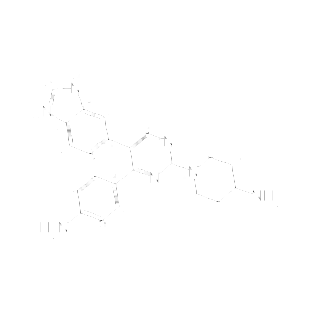 Nc1ccc(C2=NC(N3CCC(N)CC3)NC=C2c2ccc3nc[nH]c3c2)cc1